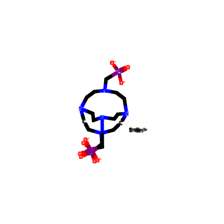 O=P([O-])([O-])CN1CCN2CCN(CP(=O)([O-])[O-])CCN(CC1)CCN(CP(=O)([O-])[O-])CC2.[Sm+3].[Sm+3]